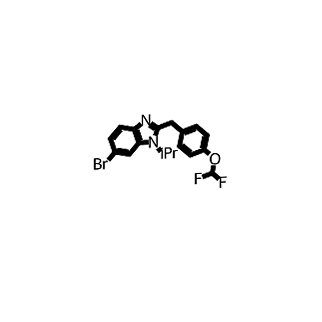 CC(C)n1c(Cc2ccc(OC(F)F)cc2)nc2ccc(Br)cc21